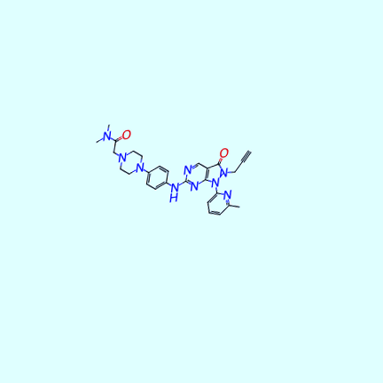 C#CCn1c(=O)c2cnc(Nc3ccc(N4CCN(CC(=O)N(C)C)CC4)cc3)nc2n1-c1cccc(C)n1